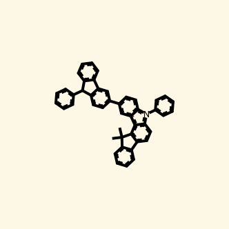 CC1(C)c2ccccc2-c2ccc3c(c21)c1cc(-c2ccc4c(c2)-c2ccccc2C4c2ccccc2)ccc1n3-c1ccccc1